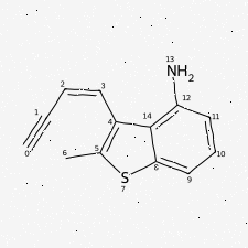 C#C/C=C\c1c(C)sc2cccc(N)c12